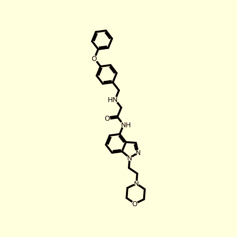 O=C(CNCc1ccc(Oc2ccccc2)cc1)Nc1cccc2c1cnn2CCN1CCOCC1